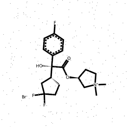 C[N+]1(C)CC[C@H](OC(=O)[C@](O)(c2ccc(F)cc2)[C@@H]2CCC(F)(F)C2)C1.[Br-]